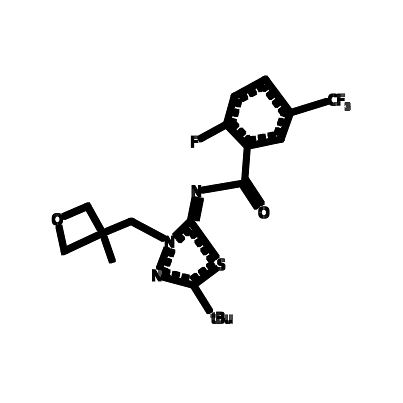 CC1(Cn2nc(C(C)(C)C)s/c2=N\C(=O)c2cc(C(F)(F)F)ccc2F)COC1